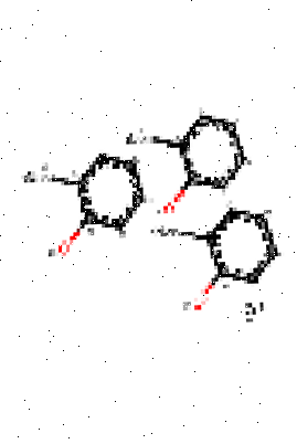 CCCCCCCCCc1ccccc1[O-].CCCCCCCCCc1ccccc1[O-].CCCCCCCCCc1ccccc1[O-].[Cr+3]